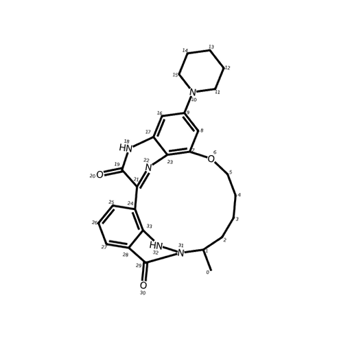 CC1CCCCOc2cc(N3CCCCC3)cc3[nH]c(=O)c(nc23)-c2cccc3c(=O)n1[nH]c23